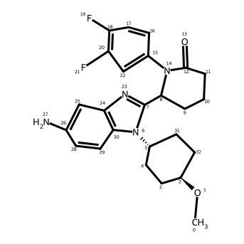 CO[C@H]1CC[C@H](n2c(C3CCCC(=O)N3c3ccc(F)c(F)c3)nc3cc(N)ccc32)CC1